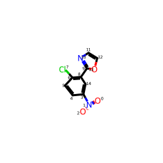 O=[N+]([O-])c1ccc(Cl)c(-c2ncco2)c1